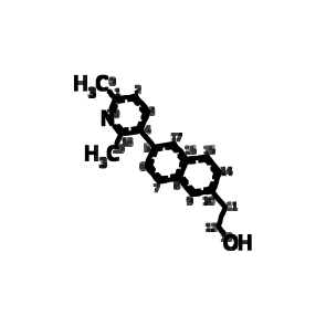 Cc1ccc(-c2ccc3cc(CCO)ccc3c2)c(C)n1